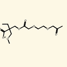 CCC(COC)(COC(=O)COCCOCC(C)=O)C(=O)O